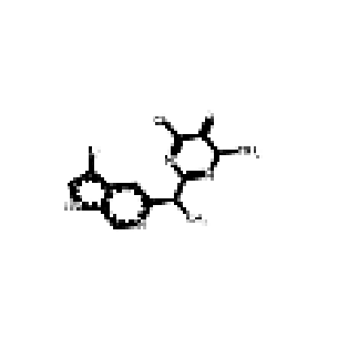 CC(C1=NC(N)C(=S)C(Cl)=N1)c1cc2c(Cl)c[nH]c2cn1